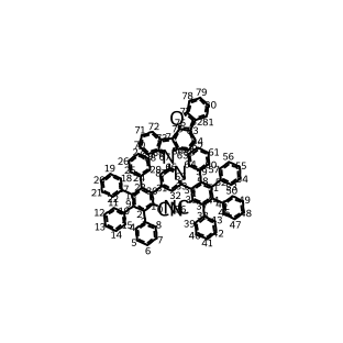 N#Cc1c(-c2ccccc2)c(-c2ccccc2)c(-c2ccccc2)c(-c2ccccc2)c1-c1cc(-c2c(C#N)c(-c3ccccc3)c(-c3ccccc3)c(-c3ccccc3)c2-c2ccccc2)nc(-n2c3ccccc3c3c4oc5ccccc5c4ccc32)c1